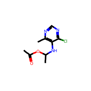 CC(=O)OC(C)Nc1c(C)ncnc1Cl